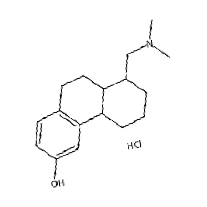 CN(C)CC1CCCC2c3cc(O)ccc3CCC12.Cl